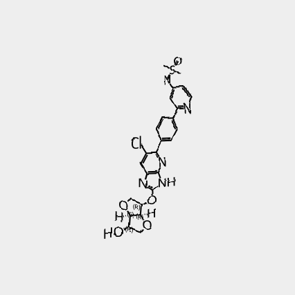 CS(C)(=O)=Nc1ccnc(-c2ccc(-c3nc4[nH]c(O[C@@H]5CO[C@H]6[C@@H]5OC[C@H]6O)nc4cc3Cl)cc2)c1